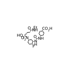 CCNC(=O)C=CC(=O)O.O=C(Nc1ccc(C(=O)O)cc1)Nc1cc([N+](=O)[O-])ccc1F